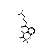 CC1C(=O)[N+](C)(C)Oc2cccc(C(=O)CCCN(C)C)c21